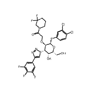 O=C(CO[C@@H]1[C@@H](n2cc(-c3cc(F)c(F)c(F)c3)nn2)[C@@H](O)[C@@H](CO)O[C@@H]1Sc1ccc(Cl)c(Cl)c1)N1CCCC(F)(F)C1